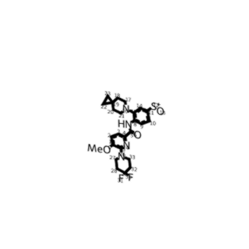 COc1ccc(C(=O)Nc2ccc([S+]=O)cc2N2CCC3(CC2)CC3)nc1N1CCC(F)(F)CC1